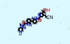 Cc1c(NC(=O)c2cc(CCC#N)c(C(C)(C)O)cn2)cccc1-c1cccc(NC(=O)c2nc3c(n2C)CCN(C)C3)c1C